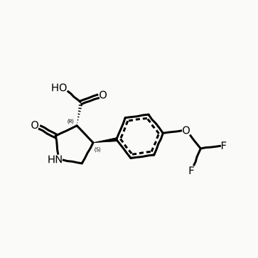 O=C(O)[C@H]1C(=O)NC[C@@H]1c1ccc(OC(F)F)cc1